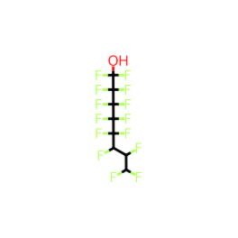 OC(F)(F)C(F)(F)C(F)(F)C(F)(F)C(F)(F)C(F)C(F)C(F)F